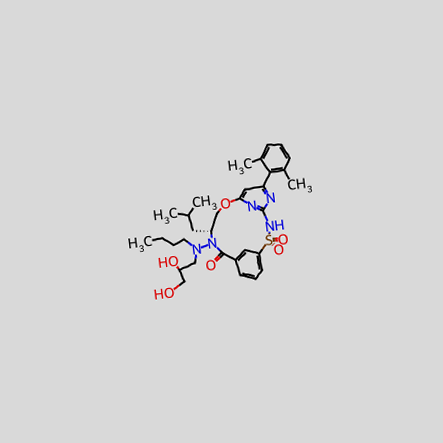 CCCCN(C[C@H](O)CO)N1C(=O)c2cccc(c2)S(=O)(=O)Nc2nc(cc(-c3c(C)cccc3C)n2)OC[C@H]1CC(C)C